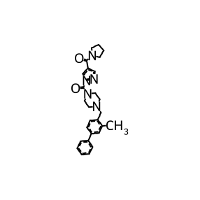 Cc1cc(-c2ccccc2)ccc1CN1CCN(C(=O)n2cc(C(=O)N3CCCC3)cn2)CC1